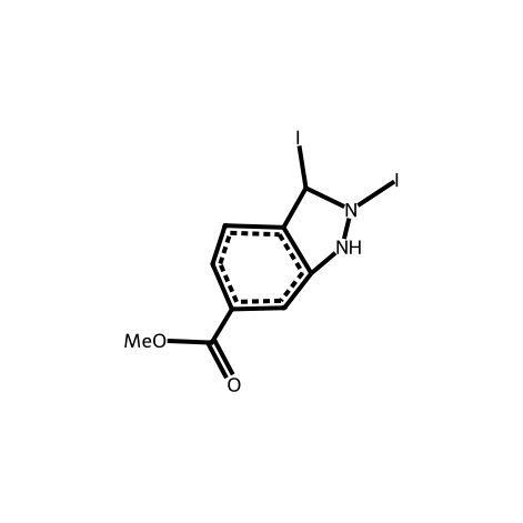 COC(=O)c1ccc2c(c1)NN(I)C2I